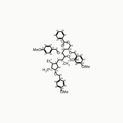 CC[C@H]1C(C[C@@H](C)C(OS(=O)(=O)O)[C@H](OCc2ccc(OC)cc2)[C@@H]2OC(c3ccccc3)OC[C@@H]2OCc2ccc(OC)cc2)C[C@@H](OCc2ccc(OC)cc2)[C@@H]1C